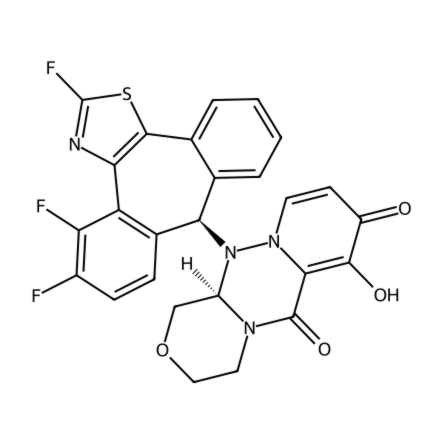 O=C1c2c(O)c(=O)ccn2N([C@@H]2c3ccccc3-c3sc(F)nc3-c3c2ccc(F)c3F)[C@@H]2COCCN12